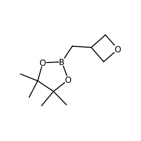 CC1(C)OB(CC2COC2)OC1(C)C